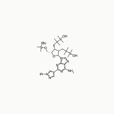 CC(C)n1cc(-c2nc(N)c3ncn(C4O[C@H](CO[Si](C)(C)C(C)(C)C)[C@@H](CC(C)(C)[Si](C)(C)O)C4CC(C)(C)[Si](C)(C)O)c3n2)cn1